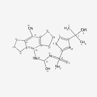 CC(C)(O)c1csc(S(N)(=O)=NC(O)Nc2c3c(c(C#N)c4c2CCC4)CCC3)n1